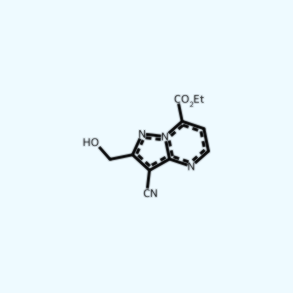 CCOC(=O)c1ccnc2c(C#N)c(CO)nn12